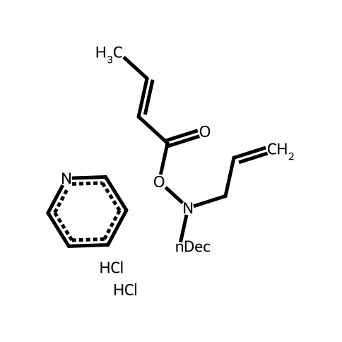 C=CCN(CCCCCCCCCC)OC(=O)C=CC.Cl.Cl.c1ccncc1